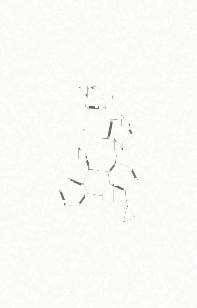 C[C@@H]1N=C(c2ccccc2Cl)c2cc(C3CC3)ccc2-n2cnc(-c3cnco3)c21